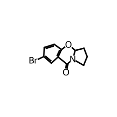 O=C1c2cc(Br)ccc2OC2CCCN12